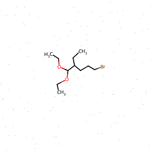 CCOC(OCC)C(CC)CCCBr